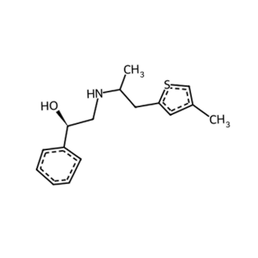 Cc1csc(CC(C)NC[C@H](O)c2ccccc2)c1